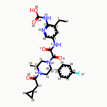 CCc1cc(NC(=O)C(=O)N2C[C@H](C)N(C(=O)CC3CC3)C[C@H]2c2ccc(F)cc2)cnc1NC(=O)O